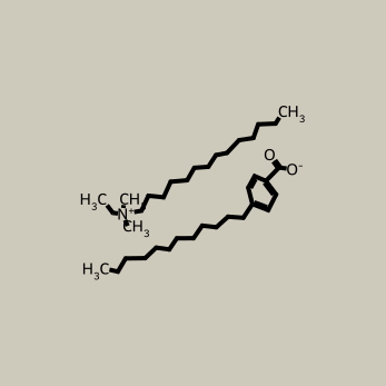 CCCCCCCCCCCCCC[N+](C)(C)CC.CCCCCCCCCCCCc1ccc(C(=O)[O-])cc1